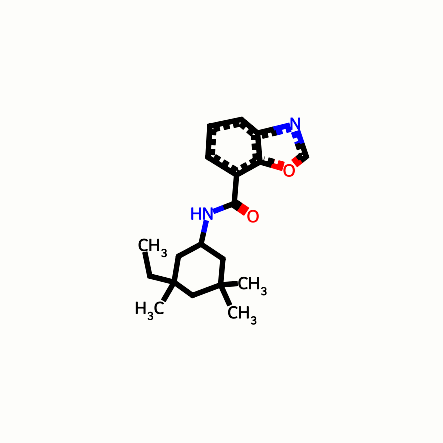 CCC1(C)CC(NC(=O)c2cccc3ncoc23)CC(C)(C)C1